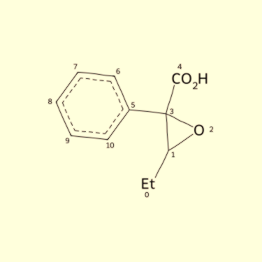 CCC1OC1(C(=O)O)c1ccccc1